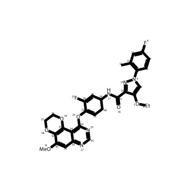 CCOc1cn(-c2ccc(F)cc2C)nc1C(=O)NC1C=C(F)C(Oc2ncnc3cc(OC)c4c(c23)OCCO4)=CC1